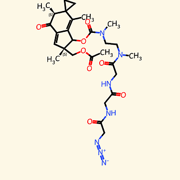 CC(=O)OC[C@]1(C)C=C2C(=O)[C@@H](C)C3(CC3)C(C)=C2C1OC(=O)N(C)CCN(C)C(=O)CNC(=O)CNC(=O)CN=[N+]=[N-]